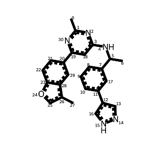 Cc1nc(NC(C)c2cccc(-c3cn[nH]c3)c2)cc(-c2ccc3occ(C)c3c2)n1